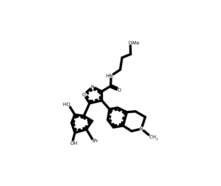 COCCCNC(=O)c1noc(-c2cc(C(C)C)c(O)cc2O)c1-c1ccc2c(c1)CCN(C)C2